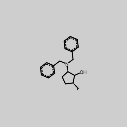 OC1[C@H](N(Cc2ccccc2)Cc2ccccc2)CC[C@@H]1F